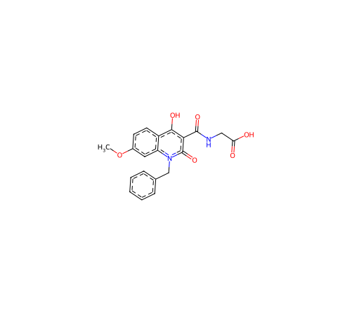 COc1ccc2c(O)c(C(=O)NCC(=O)O)c(=O)n(Cc3ccccc3)c2c1